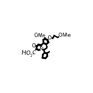 COCCCOc1cc2c(cc1OC)-c1cc(=O)c(C(=O)O)cn1C(c1ccccc1C)C2